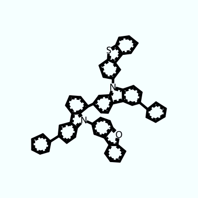 c1ccc(-c2ccc3c(c2)c2ccc(-c4cccc5c6cc(-c7ccccc7)ccc6n(-c6ccc7oc8ccccc8c7c6)c45)cc2n3-c2ccc3sc4ccccc4c3c2)cc1